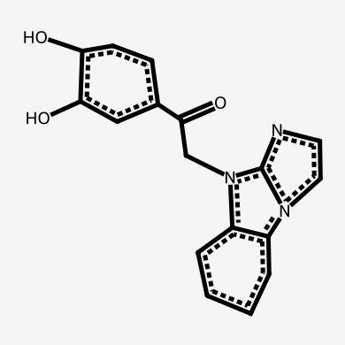 O=C(Cn1c2ccccc2n2ccnc12)c1ccc(O)c(O)c1